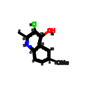 COc1ccc2nc(C)c(Cl)c(O)c2c1